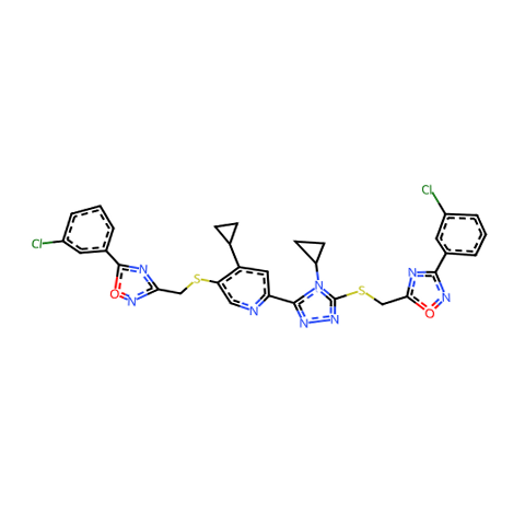 Clc1cccc(-c2noc(CSc3nnc(-c4cc(C5CC5)c(SCc5noc(-c6cccc(Cl)c6)n5)cn4)n3C3CC3)n2)c1